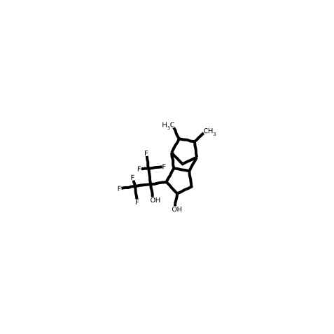 CC1C(C)C2CC1C1CC(O)C(C(O)(C(F)(F)F)C(F)(F)F)C21